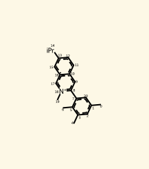 Cc1cc(C)c(C)c(-c2cc3ccc(C(C)C)cc3c[n+]2C)c1